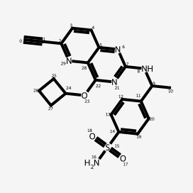 C#Cc1ccc2nc(NC(C)c3ccc(S(N)(=O)=O)cc3)nc(OC3CCC3)c2n1